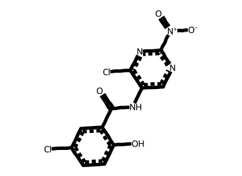 O=C(Nc1cnc([N+](=O)[O-])nc1Cl)c1cc(Cl)ccc1O